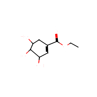 CCOC(=O)C1=CC(O)C(O)C(O)C1